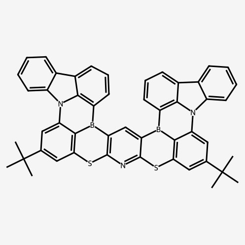 CC(C)(C)c1cc2c3c(c1)-n1c4ccccc4c4cccc(c41)B3c1cc3c(nc1S2)Sc1cc(C(C)(C)C)cc2c1B3c1cccc3c4ccccc4n-2c13